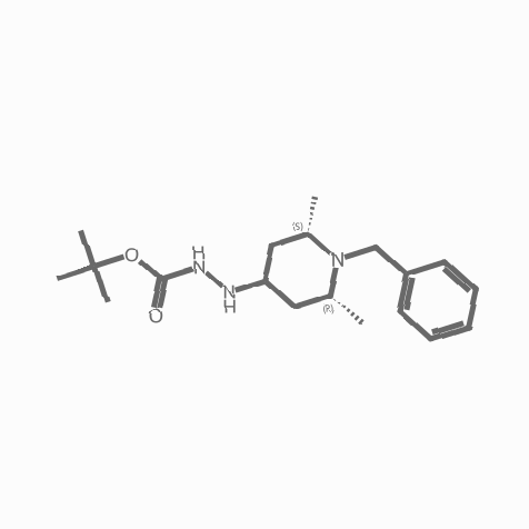 C[C@@H]1CC(NNC(=O)OC(C)(C)C)C[C@H](C)N1Cc1ccccc1